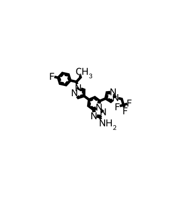 CCC(c1ccc(F)cc1)n1cc(-c2cc(-c3cnn(CC(F)(F)F)c3)n3nc(N)nc3c2)cn1